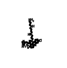 COc1ccc2nc3cc(Cl)ccc3c(NCCCNCCCCNCCCN)c2c1C(=O)[C@@H](N)Cc1c[nH]cn1